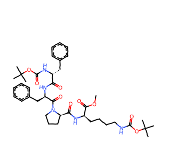 COC(=O)[C@@H](CCCCNC(=O)OC(C)(C)C)NC(=O)[C@H]1CCCN1C(=O)[C@@H](Cc1ccccc1)NC(=O)[C@@H](Cc1ccccc1)NC(=O)OC(C)(C)C